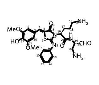 COc1cc(/C=C2\S/C(=N\c3ccccc3)N([C@@H](CCCN)C(=O)N[C@H](C=O)CN)C2=O)cc(OC)c1O